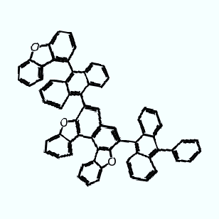 c1ccc(-c2c3ccccc3c(-c3cc4cc(-c5c6ccccc6c(-c6cccc7oc8ccccc8c67)c6ccccc56)c5oc6ccccc6c5c4c4c3oc3ccccc34)c3ccccc23)cc1